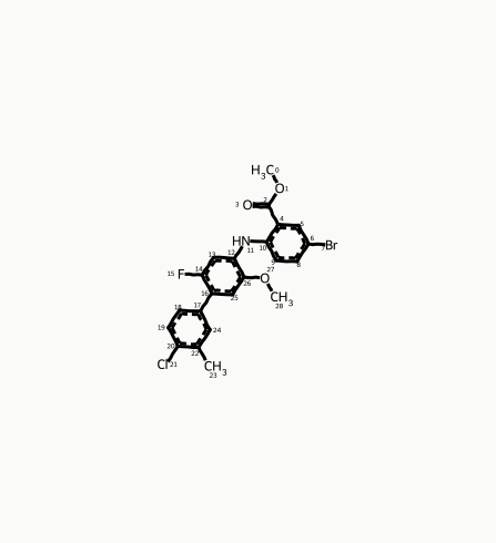 COC(=O)c1cc(Br)ccc1Nc1cc(F)c(-c2ccc(Cl)c(C)c2)cc1OC